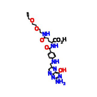 C#CCOCCOCCNC(=O)CC[C@H](NC(=O)c1ccc(NCc2cnc3nc(N)nc(O)c3n2)cc1)C(=O)O